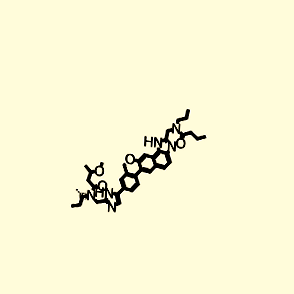 CCCC(=O)N(CCC)Cc1nc2ccc3cc4c(cc3c2[nH]1)OCc1cc(-c2cnc(CN(C(=O)CC(C)OC)[C@@H](C)CC)[nH]2)ccc1-4